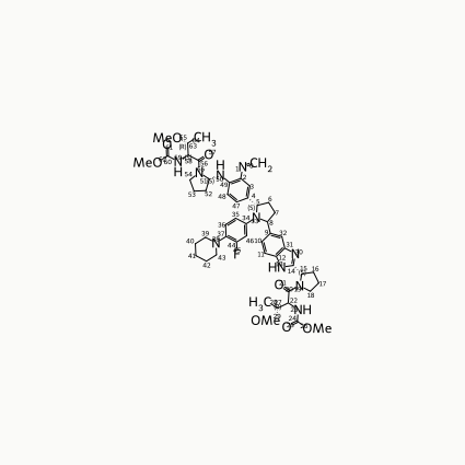 C=Nc1cc([C@@H]2CCC(c3ccc4[nH]c([C@@H]5CCCN5C(=O)C(NC(=O)OC)[C@@H](C)OC)nc4c3)N2c2ccc(N3CCCCC3)c(F)c2)ccc1N[C@@H]1CCCN1C(=O)[C@@H](NC(=O)OC)[C@@H](C)OC